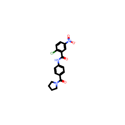 O=C(Nc1ccc(C(=O)N2CCCC2)cc1)c1cc([N+](=O)[O-])ccc1Cl